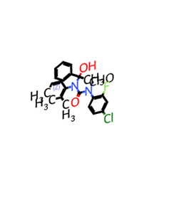 C/C=C\C(=C(C)C)N(C(=O)N(C=O)c1ccc(Cl)cc1F)C(C)(O)c1ccccc1